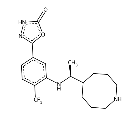 C[C@H](Nc1cc(-c2n[nH]c(=O)o2)ccc1C(F)(F)F)C1CCCNCCC1